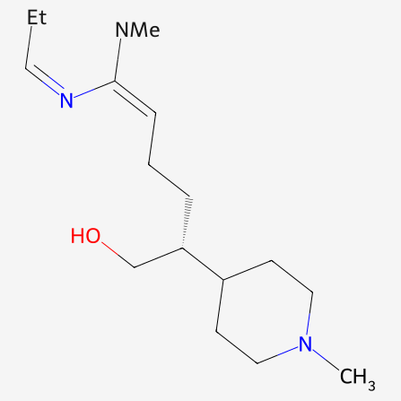 CC/C=N\C(=C/CC[C@@H](CO)C1CCN(C)CC1)NC